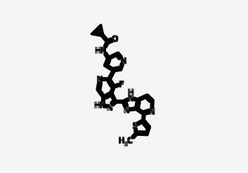 Cc1ccc(-c2nccc3[nH]c(-c4n[nH]c5cnc(-c6cncc(NC(=O)C7CC7)c6)c(F)c45)nc23)s1